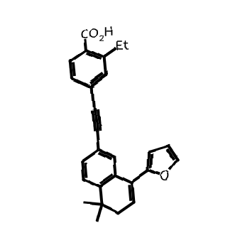 CCc1cc(C#Cc2ccc3c(c2)C(c2ccco2)=CCC3(C)C)ccc1C(=O)O